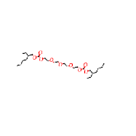 CCCCC(CC)COC(=O)OCCOCCOCCOCCOC(=O)OCC(CC)CCCC